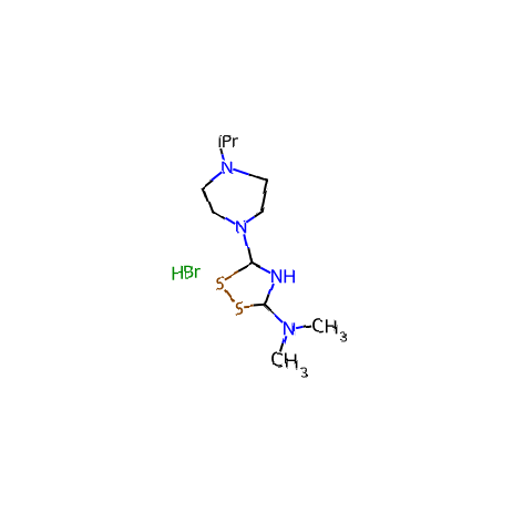 Br.CC(C)N1CCN(C2NC(N(C)C)SS2)CC1